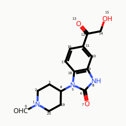 O=CN1CCC(n2c(=O)[nH]c3cc(C(=O)CO)ccc32)CC1